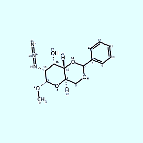 CO[C@H]1O[C@@H]2COC(c3ccccc3)O[C@H]2[C@@H](O)[C@H]1N=[N+]=[N-]